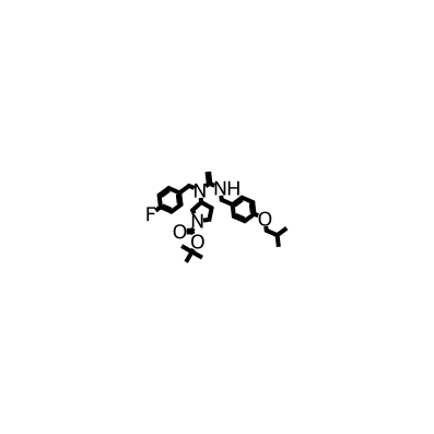 C=C(NCc1ccc(OCC(C)C)cc1)N(Cc1ccc(F)cc1)C1CCN(C(=O)OC(C)(C)C)C1